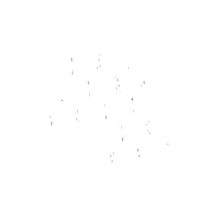 Cc1c(O)c(O)c(C=O)c(CC=C(c2ccccc2)c2ccccc2)c1-c1ccccc1